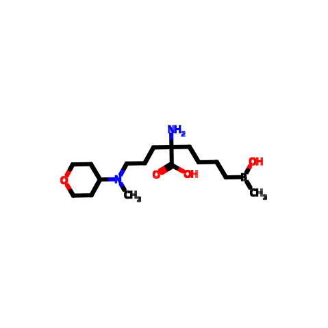 CB(O)CCCCC(N)(CCCN(C)C1CCOCC1)C(=O)O